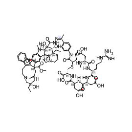 CC[C@]1(O)C[C@H]2CN(CCc3c([nH]c4ccccc34)[C@@](C(=O)OC)(c3cc4c(cc3OC)N(C)[C@H]3[C@@](O)(C(=O)N/N=C(/C)c5ccc(N6C(=O)CC(SC[C@H](NC(=O)[C@H](CC(=O)O)NC(=O)[C@H](CC(=O)O)NC(=O)[C@H](CCCNC(=N)N)NC(=O)[C@H](CC(=O)O)NC)C(=O)O)C6=O)cc5)[C@H](O)[C@]5(CC)C=CCN6CC[C@]43[C@@H]65)C2)C1